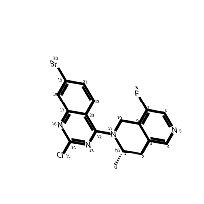 C[C@H]1Cc2cncc(F)c2CN1c1nc(Cl)nc2cc(Br)ccc12